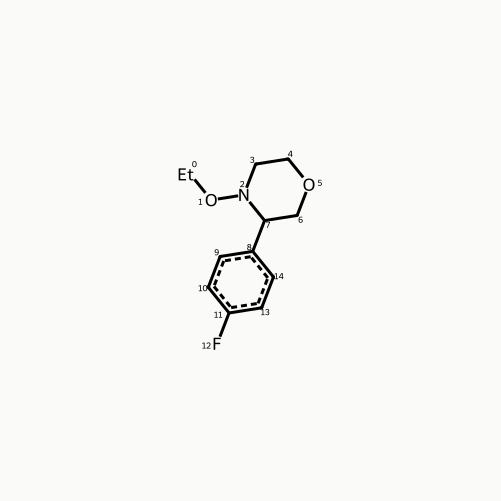 CCON1CCOCC1c1ccc(F)cc1